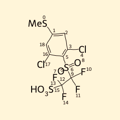 CSc1cc(Cl)c(S(=O)(=O)C(F)(F)C(F)(F)S(=O)(=O)O)c(Cl)c1